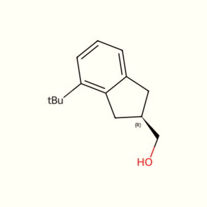 CC(C)(C)c1cccc2c1C[C@H](CO)C2